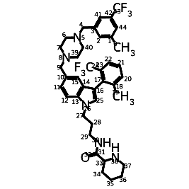 Cc1cc(CN2CCN(Cc3ccc4c(c3)c(-c3c(C)cccc3C(F)(F)F)cn4CCCNC(=O)C3CCCCN3)CC2)cc(C(F)(F)F)c1